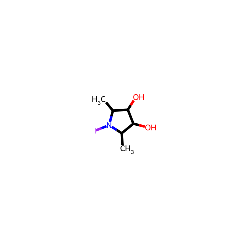 CC1C(O)C(O)C(C)N1I